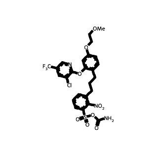 COCCOc1ccc(CCCc2cccc(S(=O)(=O)OC(N)=O)c2[N+](=O)[O-])c(Oc2ncc(C(F)(F)F)cc2Cl)c1